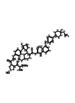 CC(=O)N[C@H](C(=O)N1C[C@H](O)C[C@H]1C(=O)NCc1ccc(-c2scnc2C)cc1OCC1CCN(C(=O)CC(=O)Nc2cccc(Sc3cnc(N4CCC(C)(CN)CC4)cn3)c2Cl)CC1)C(C)(C)C